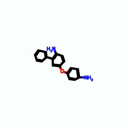 Nc1ccc(Oc2ccc(N)c(-c3ccccc3)c2)cc1